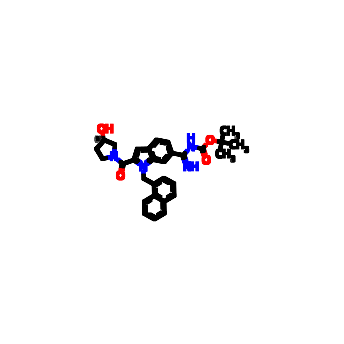 CC(C)(C)OC(=O)NC(=N)c1ccc2cc(C(=O)N3CC[C@@H](O)C3)n(Cc3cccc4ccccc34)c2c1